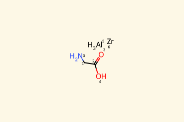 NCC(=O)O.[AlH3].[Zr]